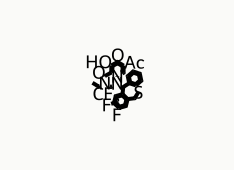 CC(=O)c1cn2c(c(O)c1=O)C(=O)N([C@H](C)C(F)(F)F)CN2[C@H]1c2cc(F)c(F)cc2CSc2ccccc21